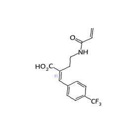 C=CC(=O)NCC/C(=C\c1ccc(C(F)(F)F)cc1)C(=O)O